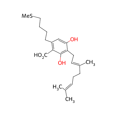 CSCCCCc1cc(O)c(C/C=C(\C)CCC=C(C)C)c(O)c1C(=O)O